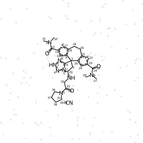 C[C@@H](CC1(c2nn[nH]n2)c2cc(C(=O)N(C)C)sc2CCc2sc(C(=O)N(C)C)cc21)NCC(=O)N1CCC[C@H]1C#N